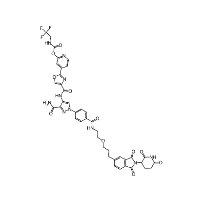 NC(=O)c1nn(-c2ccc(C(=O)NCCOCCCc3ccc4c(c3)C(=O)N(C3CCC(=O)NC3=O)C4=O)cc2)cc1NC(=O)c1coc(-c2ccnc(OC(=O)NCC(F)(F)F)c2)n1